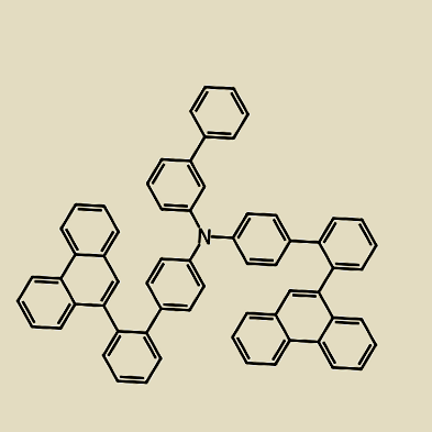 c1ccc(-c2cccc(N(c3ccc(-c4ccccc4-c4cc5ccccc5c5ccccc45)cc3)c3ccc(-c4ccccc4-c4cc5ccccc5c5ccccc45)cc3)c2)cc1